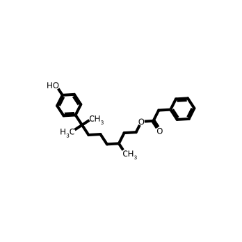 CC(CCCC(C)(C)c1ccc(O)cc1)CCOC(=O)Cc1ccccc1